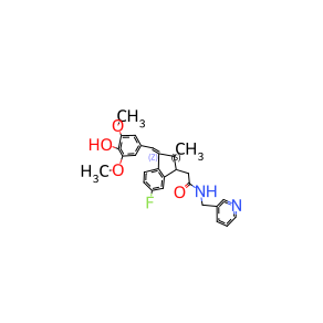 COc1cc(/C=C2\c3ccc(F)cc3C(CC(=O)NCc3cccnc3)[C@@H]2C)cc(OC)c1O